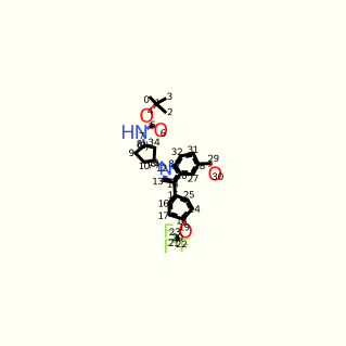 CC(C)(C)OC(=O)N[C@@H]1CC[C@H](n2cc(-c3ccc(OC(F)(F)F)cc3)c3cc(C=O)ccc32)C1